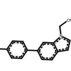 Cc1ccc(-c2ccc3ccn(CC#N)c3c2)cc1